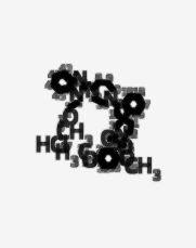 CCOCCn1c(N2CCCN(CCC3(c4ccccc4)CCN(S(=O)(=O)c4cc(OC)ccc4OC)C3)CC2)nc2ccccc21.Cl